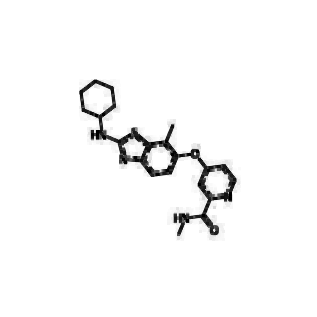 CNC(=O)c1cc(Oc2ccc3nc(NC4CCCCC4)sc3c2C)ccn1